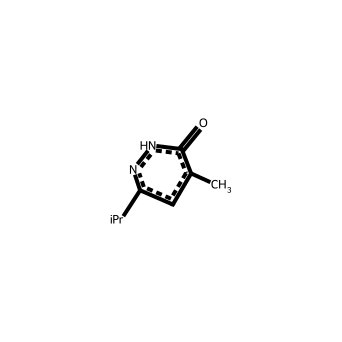 Cc1cc(C(C)C)n[nH]c1=O